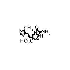 Cc1ncsc1C=CC1(C(=O)O)CS[C@@H]2C(N)C(=O)N2C1